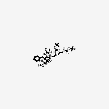 CC(C)(C)OC(=O)NCCC[C@@H](CNC(=O)[C@@H](NC(=O)O)C(Cc1ccccc1)(NC(=O)O)C(C)(C)C)NC(=O)OC(C)(C)C